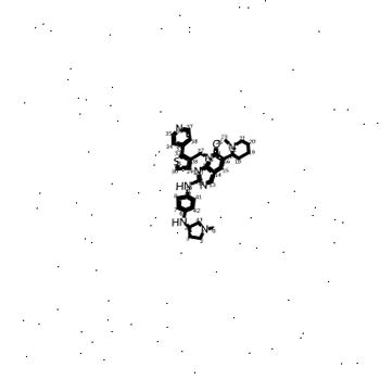 CN1CCC(Nc2ccc(Nc3ncc4cc(C5CCCCN5C)c(=O)n(Cc5ccsc5-c5ccncc5)c4n3)cc2)C1